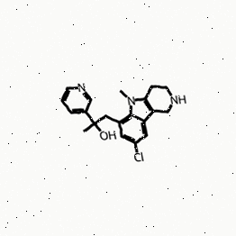 Cn1c2c(c3cc(Cl)cc(CC(C)(O)c4cccnc4)c31)CNCC2